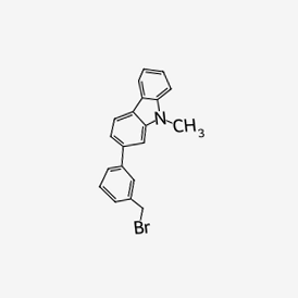 Cn1c2ccccc2c2ccc(-c3cccc(CBr)c3)cc21